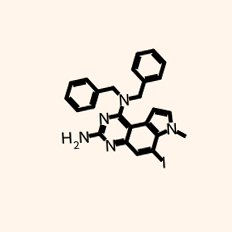 Cn1ccc2c3c(N(Cc4ccccc4)Cc4ccccc4)nc(N)nc3cc(I)c21